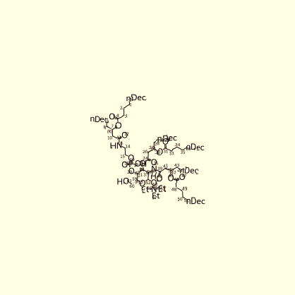 CCCCCCCCCCCCCC(=O)O[C@H](CCCCCCCCCCC)CC(=O)NCCOP(=O)(O)O[C@H]1[C@H](OC(=O)C[C@@H](CCCCCCCCCCC)OC(=O)CCCCCCCCCCCCC)[C@@H](NC(=O)C[C@@H](CCCCCCCCCCC)OC(=O)CCCCCCCCCCCCC)C(O[N+](CC)(CC)CC)O[C@@H]1CO